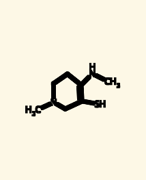 CNC1=C(S)CN(C)CC1